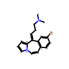 CN(C)CC/C=C1\c2cc(Br)ccc2C=Cn2cccc21